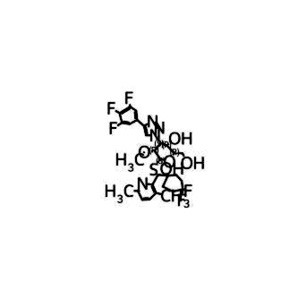 CO[C@@H]1[C@@H](n2cc(-c3cc(F)c(F)c(F)c3)nn2)[C@@H](O)[C@@H](CO)O[C@H]1SC(c1nc(C)ccc1C)C1(O)CCC(F)(F)CC1